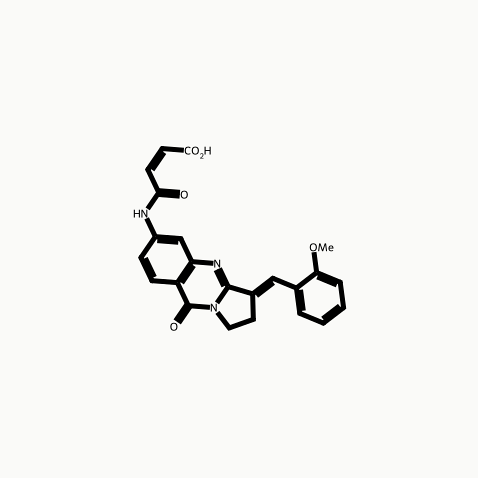 COc1ccccc1/C=C1\CCn2c1nc1cc(NC(=O)/C=C\C(=O)O)ccc1c2=O